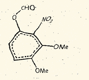 COc1ccc(O[C]=O)c([N+](=O)[O-])c1OC